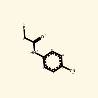 N#Cc1ccc(NC(=O)CF)cc1